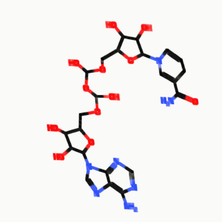 NC(=O)C1=CN(C2OC(COC(O)OC(O)OCC3OC(n4cnc5c(N)ncnc54)C(O)C3O)C(O)C2O)C=CC1